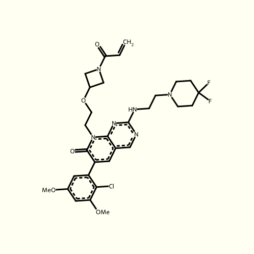 C=CC(=O)N1CC(OCCn2c(=O)c(-c3cc(OC)cc(OC)c3Cl)cc3cnc(NCCN4CCC(F)(F)CC4)nc32)C1